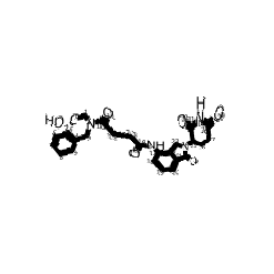 O=C(O)CN(Cc1ccccc1)C(=O)CCC(=O)Nc1cccc2c1CN(C1CCC(=O)NC1=O)C2=O